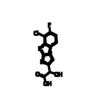 O=C(O)C(O)c1cn2c(n1)sc1c(Cl)c(F)ccc12